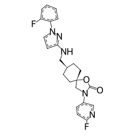 O=C1O[C@]2(CC[C@H](CNc3ccn(-c4ccccc4F)n3)CC2)CN1c1ccc(F)nc1